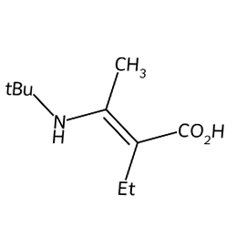 CCC(C(=O)O)=C(C)NC(C)(C)C